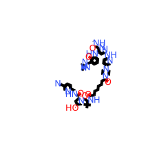 CNC(=O)c1nnc(Nc2ccc(N3CCN(C(=O)CCCCCCC(=O)N[C@H](C(=O)N4C[C@H](O)C[C@H]4C(=O)NCc4ccc(C#N)cn4)C(C)(C)C)CC3)cn2)cc1Nc1cccc(-c2ncn(C)n2)c1OC